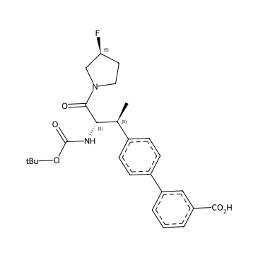 C[C@@H](c1ccc(-c2cccc(C(=O)O)c2)cc1)[C@H](NC(=O)OC(C)(C)C)C(=O)N1CC[C@H](F)C1